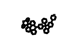 C1=CC(c2ccc3c(c2)C(c2ccccc2)(c2ccc(N(c4ccccc4)c4cccc5c4-c4ccccc4C54c5ccccc5Oc5ccccc54)cc2)c2ccccc2-3)CC=N1